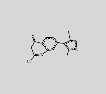 CCC1=Nc2cc(-c3c(C)noc3C)ccc2C(=O)C1